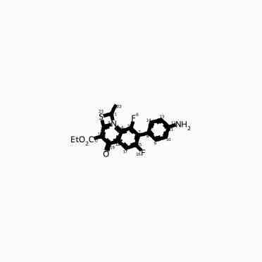 CCOC(=O)c1c2n(c3c(F)c(-c4ccc(N)cc4)c(F)cc3c1=O)C(C)S2